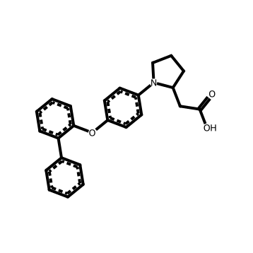 O=C(O)CC1CCCN1c1ccc(Oc2ccccc2-c2ccccc2)cc1